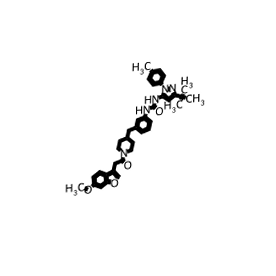 COc1ccc2c(CC(=O)N3CCC(Cc4cccc(NC(=O)Nc5cc(C(C)(C)C)nn5-c5ccc(C)cc5)c4)CC3)coc2c1